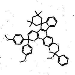 COc1ccc(C2(c3ccc(OC)cc3)C=Cc3c4c(c5cc6c(cc5c3O2)OC(OC)(c2ccccc2)CO6)-c2ccccc2C42CC(C)(C)CC(C)(C)C2)cc1